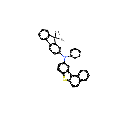 CC1(C)c2ccccc2-c2ccc(N(c3ccccc3)c3ccc4sc5ccc6ccccc6c5c4c3)cc21